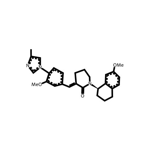 COc1ccc2c(c1)[C@H](N1CCC/C(=C\c3ccc(-n4cnc(C)c4)c(OC)c3)C1=O)CCC2